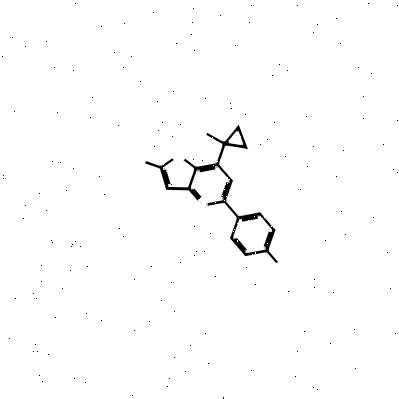 CC1(c2cc(-c3ccc(F)cc3)nc3cc(C(=O)O)oc23)CC1